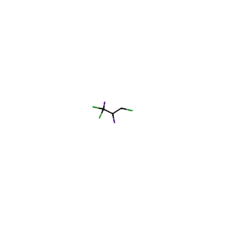 FCC(I)C(F)(F)I